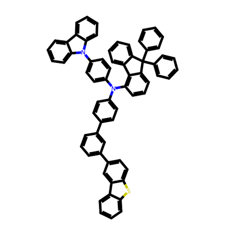 c1ccc(C2(c3ccccc3)c3ccccc3-c3c(N(c4ccc(-c5cccc(-c6ccc7sc8ccccc8c7c6)c5)cc4)c4ccc(-n5c6ccccc6c6ccccc65)cc4)cccc32)cc1